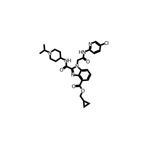 CC(C)N1CCC(NC(=O)c2nc3c(C(=O)OCC4CC4)cccc3n2CC(=O)Nc2ccc(Cl)cn2)CC1